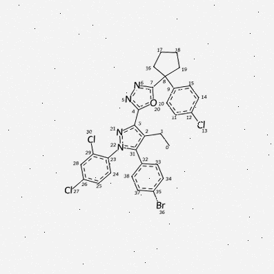 CCc1c(-c2nnc(C3(c4ccc(Cl)cc4)CCCC3)o2)nn(-c2ccc(Cl)cc2Cl)c1-c1ccc(Br)cc1